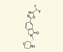 O=C1c2cc(-c3nnc(C(F)F)o3)ccc2CN1C[C@H]1COCCN1